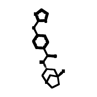 O=C(N[C@@H]1C[C@@H]2CCN(C2)C1)c1ccc(Oc2nccs2)cc1